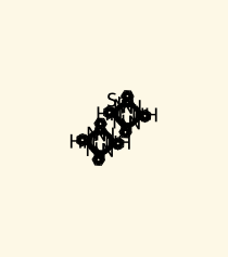 [Sm].c1ccc2c(c1)-c1nc-2nc2[nH]c(nc3nc(nc4[nH]c(n1)c1ccccc41)-c1ccccc1-3)c1ccccc21.c1ccc2c(c1)-c1nc-2nc2[nH]c(nc3nc(nc4[nH]c(n1)c1ccccc41)-c1ccccc1-3)c1ccccc21